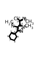 C=Nc1c(C2=CCCCC2)nn(C)c1/C(Cl)=N\C